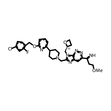 COCCC(=N)c1cc2nc(CN3CCC(c4cccc(OCc5ccc(Cl)cc5F)n4)CC3)n(C[C@@H]3CCO3)c2nn1